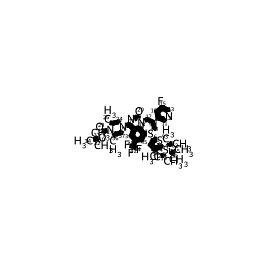 CC(C)[Si](c1sc([SH]2C[C@@H](c3cncc(F)c3)Cn3c(=O)nc(N4C[C@@H](C)N(C(=O)OC(C)(C)C)[C@@H](C)C4)c4cc(C(F)(F)F)cc2c43)cc1Cl)(C(C)C)C(C)C